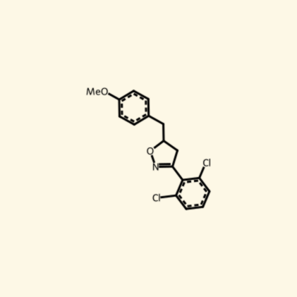 COc1ccc(CC2CC(c3c(Cl)cccc3Cl)=NO2)cc1